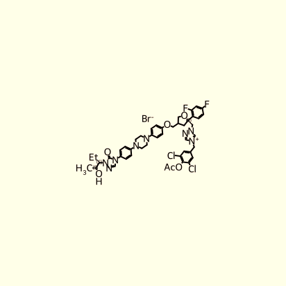 CC[C@@H]([C@H](C)O)n1ncn(-c2ccc(N3CCN(c4ccc(OCC5CO[C@](Cn6c[n+](Cc7cc(Cl)c(OC(C)=O)c(Cl)c7)cn6)(c6ccc(F)cc6F)C5)cc4)CC3)cc2)c1=O.[Br-]